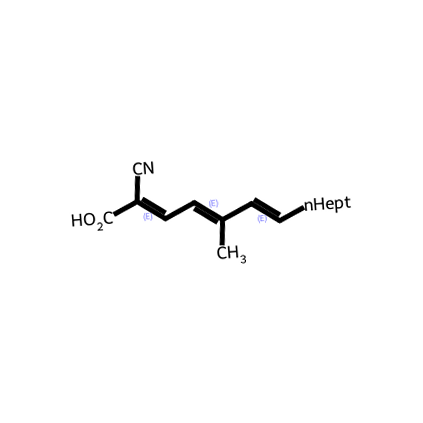 CCCCCCC/C=C/C(C)=C/C=C(\C#N)C(=O)O